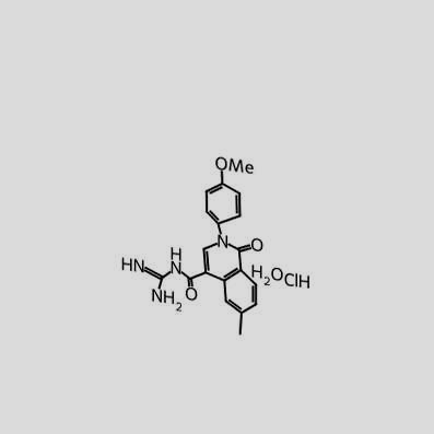 COc1ccc(-n2cc(C(=O)NC(=N)N)c3cc(C)ccc3c2=O)cc1.Cl.O